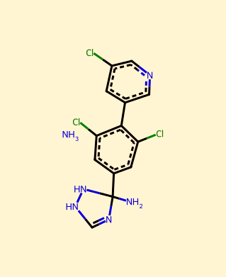 N.NC1(c2cc(Cl)c(-c3cncc(Cl)c3)c(Cl)c2)N=CNN1